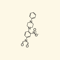 O=CN(C=O)c1ccc(N2CCN(c3ccccc3)CC2)c([N+](=O)[O-])c1